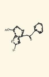 CCc1cc2c(C(=O)c3ccccc3)ccc(O)c2o1